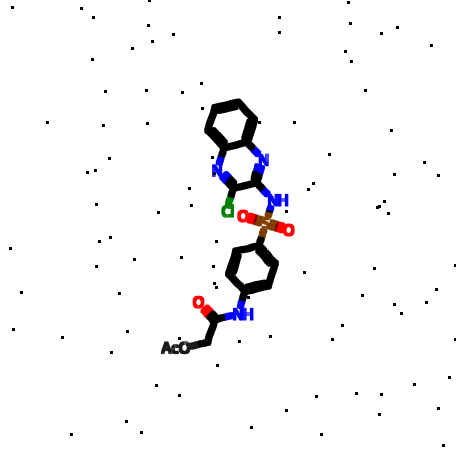 CC(=O)OCC(=O)Nc1ccc(S(=O)(=O)Nc2nc3ccccc3nc2Cl)cc1